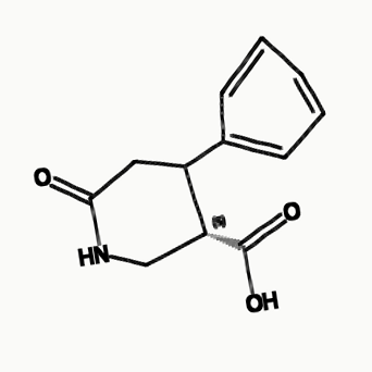 O=C1CC(c2ccccc2)[C@H](C(=O)O)CN1